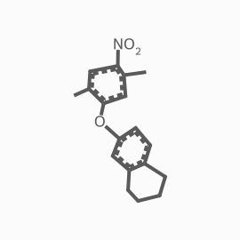 Cc1cc([N+](=O)[O-])c(C)cc1Oc1ccc2c(c1)CCCC2